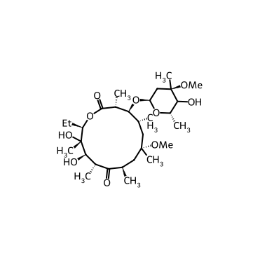 CC[C@H]1OC(=O)[C@H](C)[C@@H](O[C@H]2C[C@@](C)(OC)C(O)[C@H](C)O2)[C@H](C)C[C@](C)(OC)C[C@@H](C)C(=O)[C@H](C)[C@@H](O)[C@]1(C)O